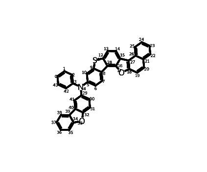 c1ccc(N(c2ccc3c(c2)sc2ccc4c(oc5ccc6ccccc6c54)c23)c2ccc3oc4ccccc4c3c2)cc1